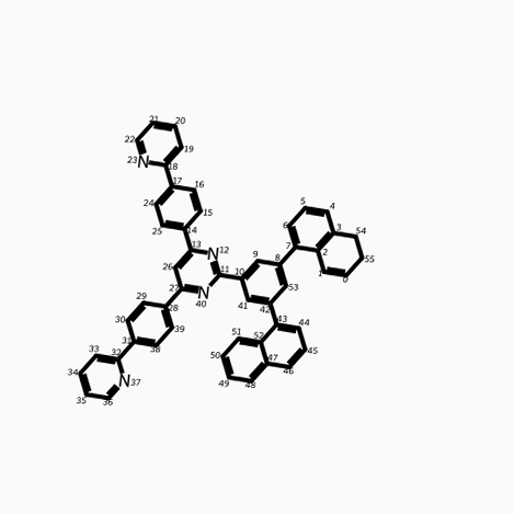 C1=Cc2c(cccc2-c2cc(-c3nc(-c4ccc(-c5ccccn5)cc4)cc(-c4ccc(-c5ccccn5)cc4)n3)cc(-c3cccc4ccccc34)c2)CC1